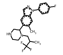 Cc1cc2c(cnn2-c2ccc(F)cc2)cc1C1CNCCN1CC(C)C(F)(F)F